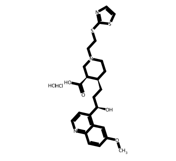 COc1ccc2nccc([C@H](O)CC[C@@H]3CCN(CCSc4nccs4)C[C@@H]3C(=O)O)c2c1.Cl.Cl